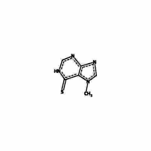 Cn1cnc2nc[nH]c(=S)c21